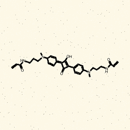 C=CC(=O)NCCCN(C)c1ccc(C2=C(O)C(=C3C=CC(N(C)CCCNC(=O)C=C)C=C3)C2=O)cc1